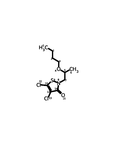 CCCCOC(C)Cn1sc(Cl)c(Cl)c1=O